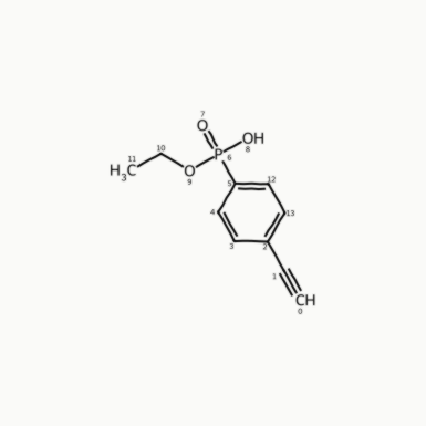 C#Cc1ccc(P(=O)(O)OCC)cc1